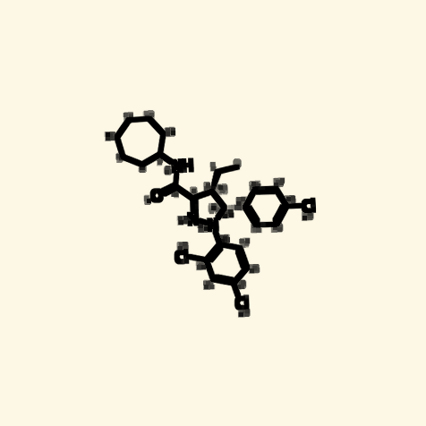 CC[C@@H]1C(C(=O)NC2CCCCCC2)=NN(c2ccc(Cl)cc2Cl)[C@H]1c1ccc(Cl)cc1